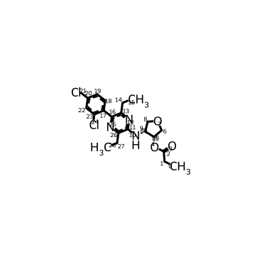 CCC(=O)O[C@H]1COC[C@H]1Nc1nc(CC)c(-c2ccc(Cl)cc2Cl)nc1CC